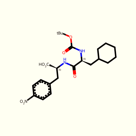 CC(C)(C)OC(=O)N[C@@H](CC1CCCCC1)C(=O)N[C@@H](Cc1ccc([N+](=O)[O-])cc1)C(=O)O